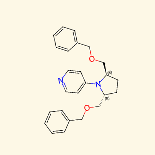 c1ccc(COC[C@H]2CC[C@H](COCc3ccccc3)N2c2ccncc2)cc1